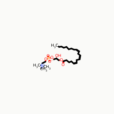 CCCCCCCC/C=C\C/C=C\C/C=C\CCCC(=O)OC[C@@H](O)COP(=O)([O-])OCC[N+](C)(C)C